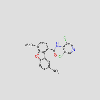 COc1ccc(C(=O)Nc2c(Cl)cncc2Cl)c2c1oc1ccc([N+](=O)[O-])cc12